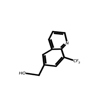 OCc1cc(C(F)(F)F)c2ncccc2c1